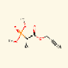 C#CCOC(=O)C(CC)P(=O)(OCC)OCC